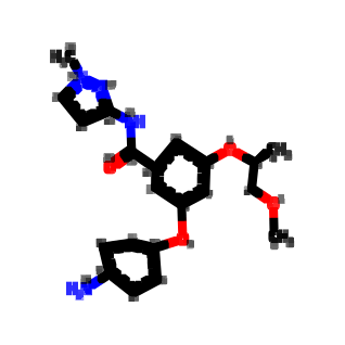 COC[C@H](C)Oc1cc(Oc2ccc(N)cc2)cc(C(=O)Nc2ccn(C)n2)c1